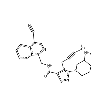 CC#CCn1c(C(=O)NCc2ncc(C#N)c3ccccc23)nnc1N1CCCC(N)C1